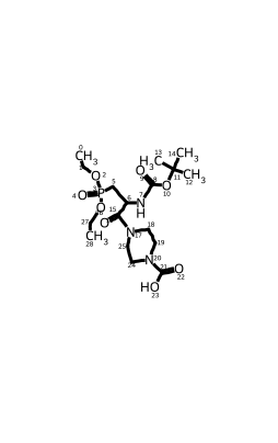 CCOP(=O)(CC(NC(=O)OC(C)(C)C)C(=O)N1CCN(C(=O)O)CC1)OCC